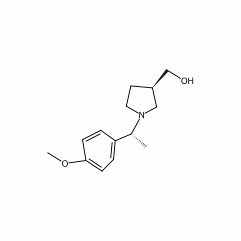 COc1ccc([C@@H](C)N2CC[C@@H](CO)C2)cc1